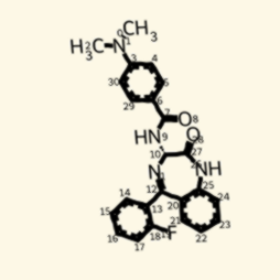 CN(C)c1ccc(C(=O)N[C@H]2N=C(c3ccccc3F)c3ccccc3NC2=O)cc1